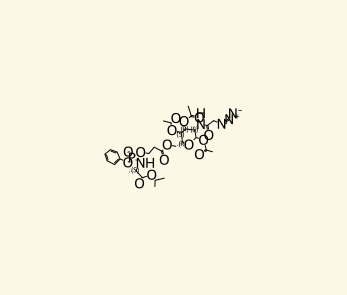 CC(=O)OC1O[C@H](COC(=O)CCOP(=O)(N[C@@H](C)C(=O)OC(C)C)Oc2ccccc2)[C@@H](OC(C)=O)[C@H](OC(C)=O)[C@@H]1NC(=O)CN=[N+]=[N-]